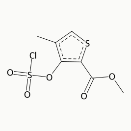 COC(=O)c1scc(C)c1OS(=O)(=O)Cl